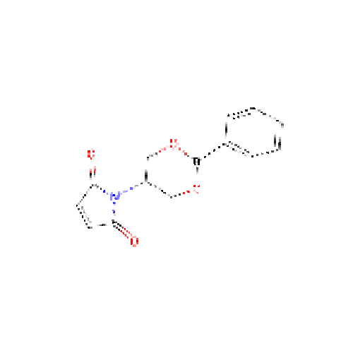 O=C1C=CC(=O)N1C1COB(c2ccccc2)OC1